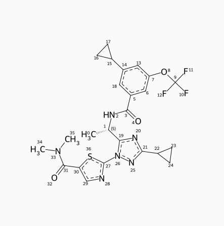 C[C@H](NC(=O)c1cc(OC(F)(F)F)cc(C2CC2)c1)c1nc(C2CC2)nn1-c1ncc(C(=O)N(C)C)s1